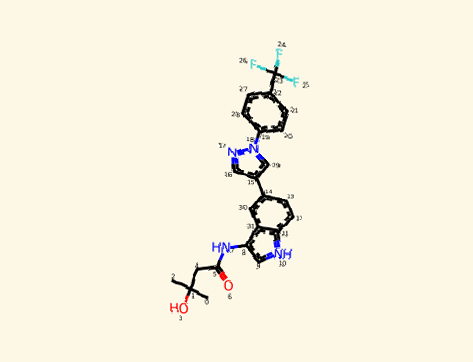 CC(C)(O)CC(=O)Nc1c[nH]c2ccc(-c3cnn(-c4ccc(C(F)(F)F)cc4)c3)cc12